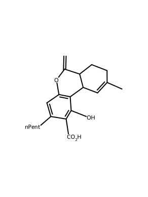 C=C1Oc2cc(CCCCC)c(C(=O)O)c(O)c2C2C=C(C)CCC12